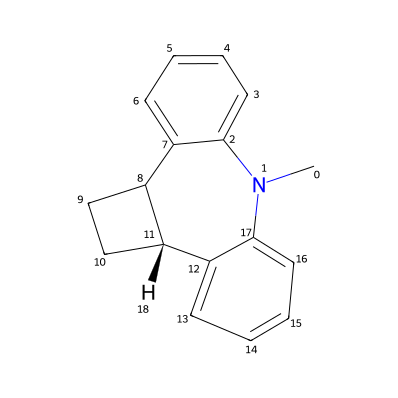 CN1c2ccccc2C2CC[C@H]2c2ccccc21